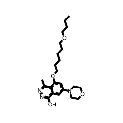 CCCCOCCCCCCOc1cc(N2CCOCC2)cc2c(O)nnc(C)c12